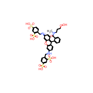 CN(CCCOO)C(=O)c1ccccc1-c1c2cc/c(=N/Cc3ccc(S(=O)(=O)O)cc3S(=O)(=O)O)cc-2oc2cc(NCc3ccc(S(=O)(=O)O)cc3S(=O)(=O)O)ccc12